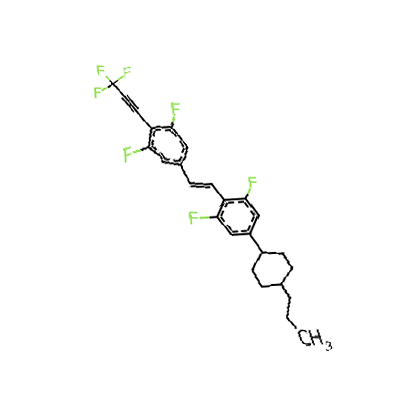 CCCC1CCC(c2cc(F)c(/C=C/c3cc(F)c(C#CC(F)(F)F)c(F)c3)c(F)c2)CC1